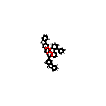 c1ccc(-c2ccccc2-c2c(-c3ccccc3)cccc2N(c2ccc(-c3ccc4oc5ccccc5c4c3)cc2)c2ccc3sc4ccccc4c3c2)cc1